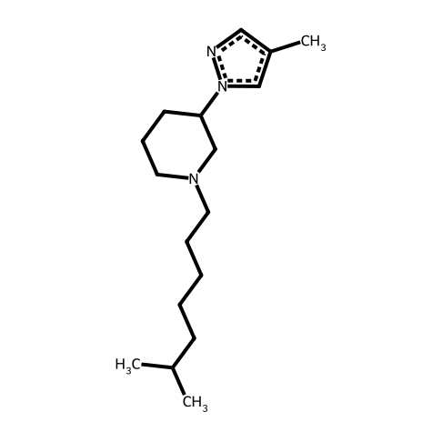 Cc1cnn(C2CCCN(CCCCCC(C)C)C2)c1